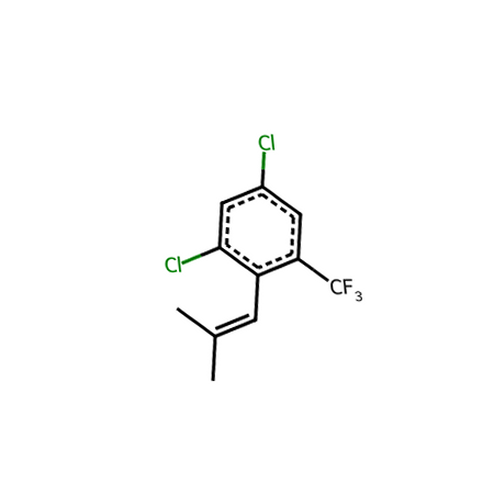 CC(C)=Cc1c(Cl)cc(Cl)cc1C(F)(F)F